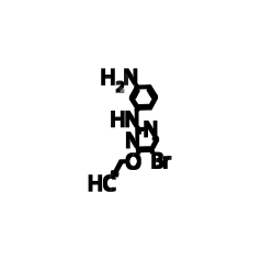 C#CCOc1nc(Nc2cccc(N)c2)ncc1Br